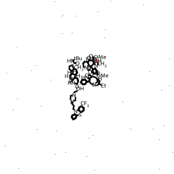 CC(C)(C)NC(=O)[C@H]1CC[C@H]2[C@@H]3CC[C@H]4NC(=O)C=C[C@]4(C)[C@H]3CC[C@]12C.CCC1=C[C@@H]2C[N@](C1)Cc1c([nH]c3ccccc13)[C@@](C(=O)OC)(c1cc3c(cc1OC)N(C)[C@H]1[C@@](O)(C(=O)OC)[C@H](OC(C)=O)[C@]4(CC)C=CCN5CC[C@]31[C@@H]54)C2.OCCN1CCN(CCCN2c3ccccc3Sc3ccc(C(F)(F)F)cc32)CC1